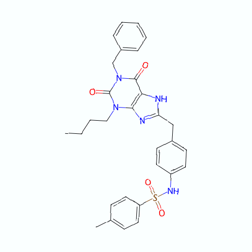 CCCCn1c(=O)n(Cc2ccccc2)c(=O)c2[nH]c(Cc3ccc(NS(=O)(=O)c4ccc(C)cc4)cc3)nc21